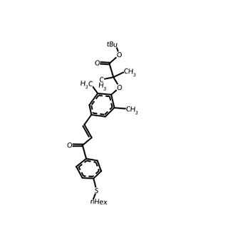 CCCCCCSc1ccc(C(=O)/C=C/c2cc(C)c(OC(C)(C)C(=O)OC(C)(C)C)c(C)c2)cc1